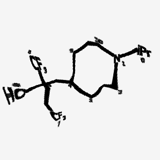 CC(C)N1CCC(C(O)(C(F)(F)F)C(F)(F)F)CC1